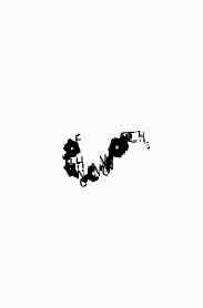 COc1ccc(-c2noc(N3CCC(C(=O)NCC4CCN(Cc5ccc(F)cc5)C4)CC3)n2)cc1